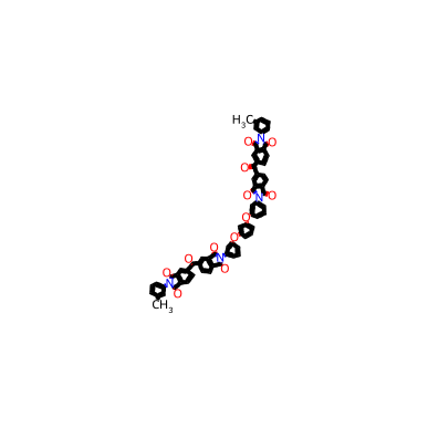 Cc1cccc(N2C(=O)c3ccc(C(=O)c4ccc5c(c4)C(=O)N(c4cccc(Oc6cccc(Oc7cccc(N8C(=O)c9ccc(C(=O)c%10ccc%11c(c%10)C(=O)N(c%10cccc(C)c%10)C%11=O)cc9C8=O)c7)c6)c4)C5=O)cc3C2=O)c1